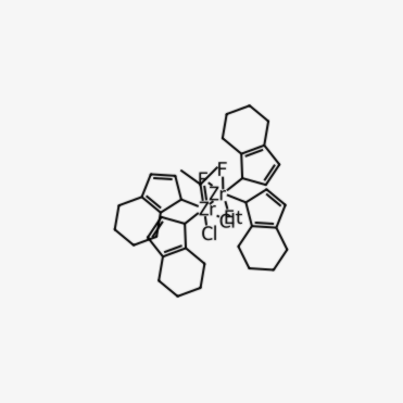 C[CH2][Zr]([F])([F])([CH]1C=CC2=C1CCCC2)([CH]1C=CC2=C1CCCC2)[Zr]([Cl])([Cl])(=[C](C)C)([CH]1C=CC2=C1CCCC2)[CH]1C=CC2=C1CCCC2